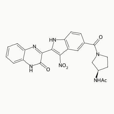 CC(=O)N[C@@H]1CCN(C(=O)c2ccc3[nH]c(-c4nc5ccccc5[nH]c4=O)c([N+](=O)[O-])c3c2)C1